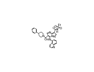 CCS(=O)(=O)NC(=O)c1cnn2c(Nc3cccc4ncccc34)c(C(=O)N3CCC(c4ccccc4)CC3)cnc12